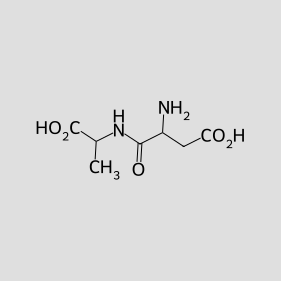 CC(NC(=O)C(N)CC(=O)O)C(=O)O